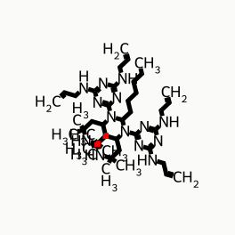 C=CCNc1nc(NCC=C)nc(N(C2CC(C)(C)NC(C)(C)C2)C(CCCCCC)N(c2nc(NCC=C)nc(NCC=C)n2)C2CC(C)(C)NC(C)(C)C2)n1